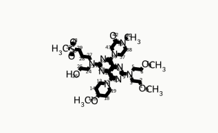 COCCN(CCOC)c1nc(N2CCC(OC)CC2)c2nc(N(CCO)CCCS(C)(=O)=O)nc(N3CCN(C)C(=O)C3)c2n1